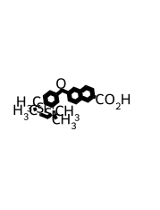 C[Si]1(C)CC[Si](C)(C)c2cc(C(=O)c3ccc4cc(C(=O)O)ccc4c3)ccc21